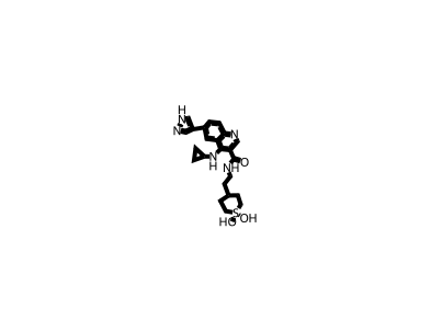 O=C(NCCC1CCS(O)(O)CC1)c1cnc2ccc(-c3cn[nH]c3)cc2c1NC1CC1